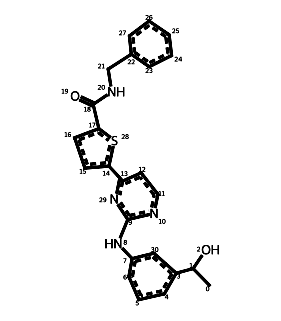 CC(O)c1cccc(Nc2nccc(-c3ccc(C(=O)NCc4ccccc4)s3)n2)c1